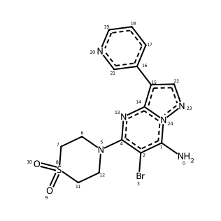 Nc1c(Br)c(N2CCS(=O)(=O)CC2)nc2c(-c3cccnc3)cnn12